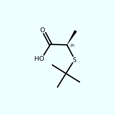 C[C@@H](SC(C)(C)C)C(=O)O